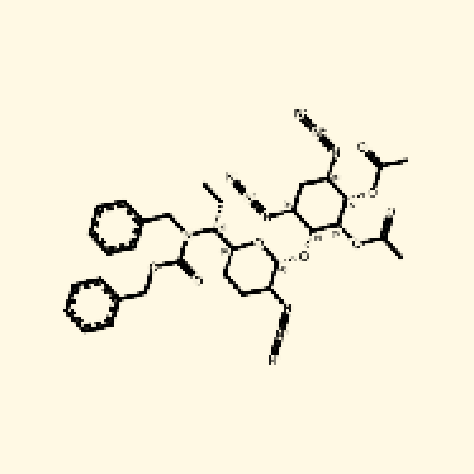 CC[C@H]([C@@H]1CCC(N=[N+]=[N-])[C@@H](O[C@H]2[C@H](OC(C)=O)[C@@H](OC(C)=O)[C@H](N=[N+]=[N-])C[C@@H]2N=[N+]=[N-])O1)N(Cc1ccccc1)C(=O)OCc1ccccc1